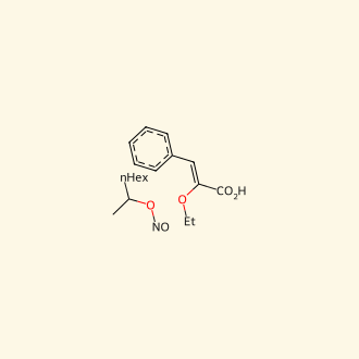 CCCCCCC(C)ON=O.CCOC(=Cc1ccccc1)C(=O)O